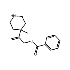 C=C(COC(=O)c1ccccc1)C1(C)CCNCC1